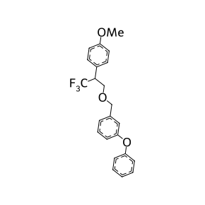 COc1ccc(C(COCc2cccc(Oc3ccccc3)c2)C(F)(F)F)cc1